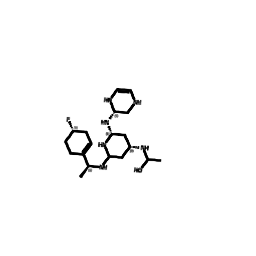 CC(O)N[C@@H]1CC(N[C@@H](C)C2=CC[C@@H](F)CC2)N[C@H](N[C@H]2CNC=CN2)C1